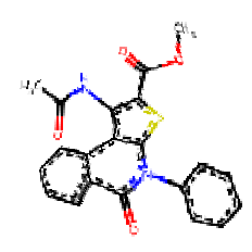 COC(=O)c1sc2c(c1NC(C)=O)c1ccccc1c(=O)n2-c1ccccc1